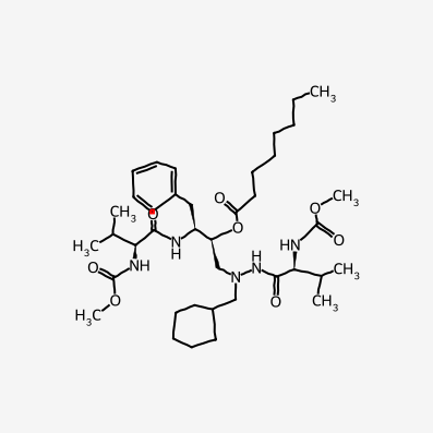 CCCCCCCC(=O)O[C@@H](CN(CC1CCCCC1)NC(=O)[C@@H](NC(=O)OC)C(C)C)[C@H](Cc1ccccc1)NC(=O)[C@@H](NC(=O)OC)C(C)C